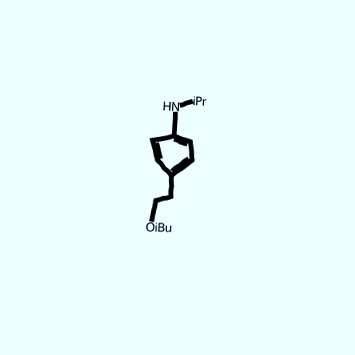 CC(C)COCCc1ccc(NC(C)C)cc1